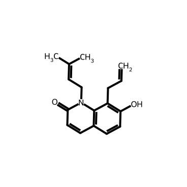 C=CCc1c(O)ccc2ccc(=O)n(CC=C(C)C)c12